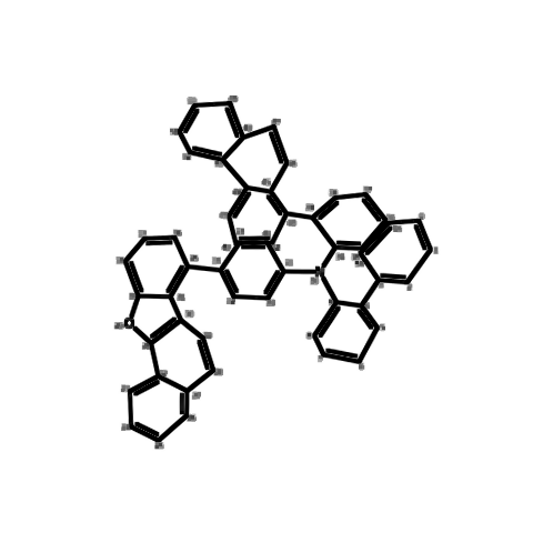 c1ccc(-c2ccccc2N(c2ccc(-c3cccc4oc5c6ccccc6ccc5c34)cc2)c2ccccc2-c2cccc3c2ccc2ccccc23)cc1